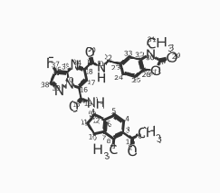 CC(=O)c1ccc2c(c1C)CC[C@@H]2NC(=O)c1cc(C(=O)NCc2ccc3oc(=O)n(C)c3c2)nc2c(F)cnn12